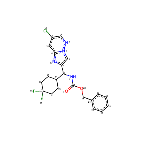 O=C(NC(c1cn2ncc(Cl)cc2n1)C1CCC(F)(F)CC1)OCc1ccccc1